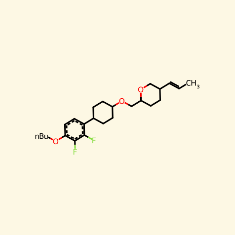 C/C=C/C1CCC(COC2CCC(c3ccc(OCCCC)c(F)c3F)CC2)OC1